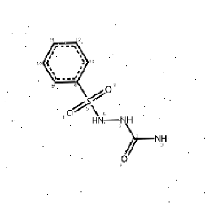 [NH]C(=O)NNS(=O)(=O)c1ccccc1